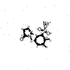 Cc1cccc(S(=O)(=O)[O-])c1C.Cn1sccc1=O.[Na+]